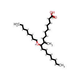 CCCCCCCCOC(CCCCCCCC)C(C)CCCCCCCC(=O)O